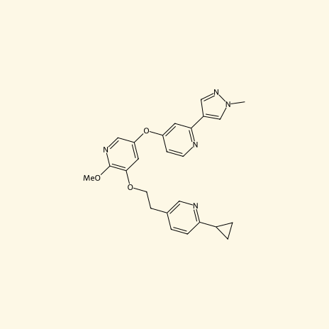 COc1ncc(Oc2ccnc(-c3cnn(C)c3)c2)cc1OCCc1ccc(C2CC2)nc1